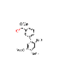 COC(=O)c1cccc(-c2cc(OC)c(OC)cc2N=O)c1